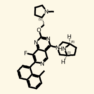 Cc1cccc2cccc(-c3ncc4c(N5C[C@H]6CC[C@@H](C5)N6)nc(OC[C@@H]5CCCN5C)nc4c3F)c12